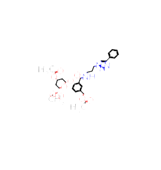 COC(=O)[C@@H]1C[C@H](OC(C)=O)C[C@H](Oc2ccc(COC(C)=O)cc2C(=O)NCCCn2cc(-c3ccccc3)nn2)O1